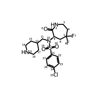 O=C1NCCC(F)(F)C[C@H]1N(CC1CCNCC1)S(=O)(=O)c1ccc(Cl)cc1